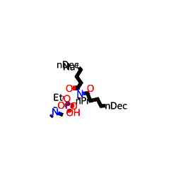 CCCCCCCCCCCCCC(=O)N(CCC)C(=O)CCCCCCCCCCCCC.CCOP(=O)([O-])O.CN(C)C.[Na+]